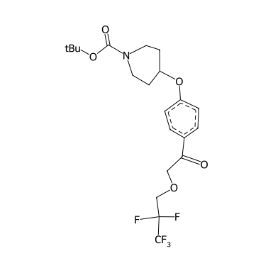 CC(C)(C)OC(=O)N1CCC(Oc2ccc(C(=O)COCC(F)(F)C(F)(F)F)cc2)CC1